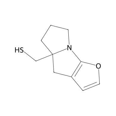 SCC12CCCN1c1occc1C2